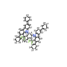 N#Cc1c2c(cc3c1C(F)(F)c1c(-c4ccccc4)ccc4c5cc(-c6ccccc6)ccc5n-3c14)-n1c3ccc(-c4ccccc4)cc3c3ccc(-c4ccccc4)c(c31)C2(F)F